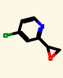 Clc1ccnc(C2CO2)c1